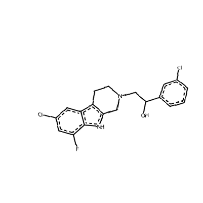 OC(CN1CCc2c([nH]c3c(F)cc(Cl)cc23)C1)c1cccc(Cl)c1